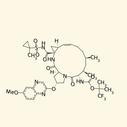 COc1ccc2nc(O[C@@H]3C[C@H]4C(=O)N[C@]5(C(=O)NS(=O)(=O)C6(C)CC6)C[C@H]5/C=C\CC[C@@H](C)C[C@@H](C)[C@H](NC(=O)OC(C)(C)C(F)(F)F)C(=O)N4C3)cnc2c1